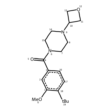 COc1cc(C(=O)N2CCN(C3COC3)CC2)ccc1C(C)(C)C